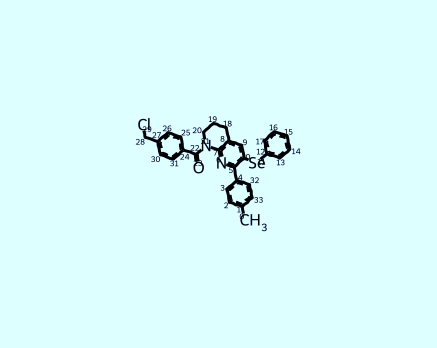 Cc1ccc(-c2nc3c(cc2[Se]c2ccccc2)CCCN3C(=O)c2ccc(CCl)cc2)cc1